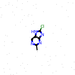 Cc1ncc2[nH]c(Cl)nc2n1